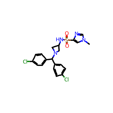 Cn1cnc(S(=O)(=O)NC2CN(C(c3ccc(Cl)cc3)c3ccc(Cl)cc3)C2)c1